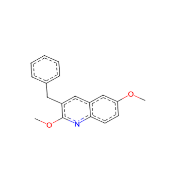 COc1ccc2nc(OC)c(Cc3ccccc3)cc2c1